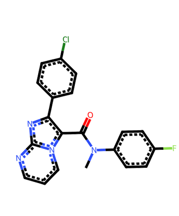 CN(C(=O)c1c(-c2ccc(Cl)cc2)nc2ncccn12)c1ccc(F)cc1